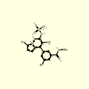 CCc1ccc2c(-c3cc(Br)cc(C(=O)OC(C)(C)C)c3)c(C#N)c(OS(=O)(=O)C(F)(F)F)nn12